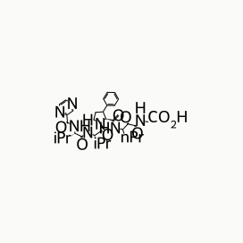 CCCC(NC(=O)[C@@H]1C(c2ccccc2)CCN1C(=O)[C@@H](NC(=O)[C@@H](NC(=O)c1cnccn1)C(C)C)C(C)C)C(=O)C(=O)NCC(=O)O